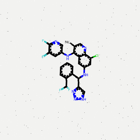 N#Cc1cnc2c(Cl)cc(NC(c3c[nH]nn3)c3ccccc3C(F)F)cc2c1Nc1cnc(F)c(F)c1